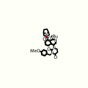 COc1ccc(CN2C(=O)CCN(c3cncc4c(N5CC6CCC(C5)N6C(=O)OC(C)(C)C)cccc34)C2=O)cc1